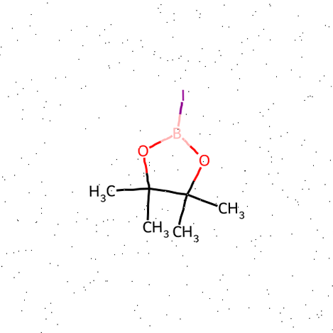 CC1(C)OB(I)OC1(C)C